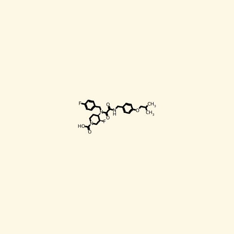 CC(C)COc1ccc(CNC(=O)C(=O)N(Cc2ccc(F)cc2)[C@@H]2CCN(C(=O)O)C[C@@H]2F)cc1